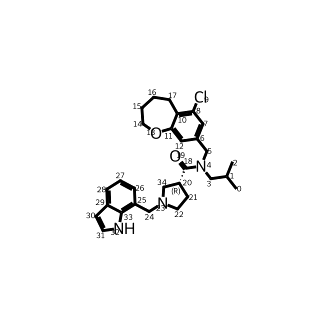 CC(C)CN(Cc1cc(Cl)c2c(c1)OCCCC2)C(=O)[C@@H]1CCN(Cc2cccc3cc[nH]c23)C1